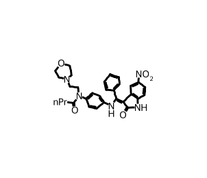 CCCC(=O)N(CCN1CCOCC1)c1ccc(N/C(=C2\C(=O)Nc3ccc([N+](=O)[O-])cc32)c2ccccc2)cc1